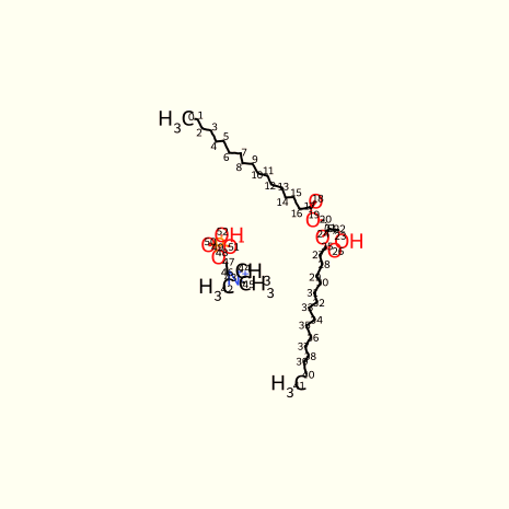 CCCCCCCCCCCCCCCCCC(=O)OC[C@H](CO)OC(=O)CCCCCCCCCCCCCCC.C[N+](C)(C)CCOP(=O)([O-])O